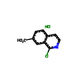 Cl.O=C(O)c1ccc2ccnc(Cl)c2c1